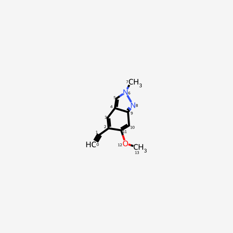 C#Cc1cc2cn(C)nc2cc1OC